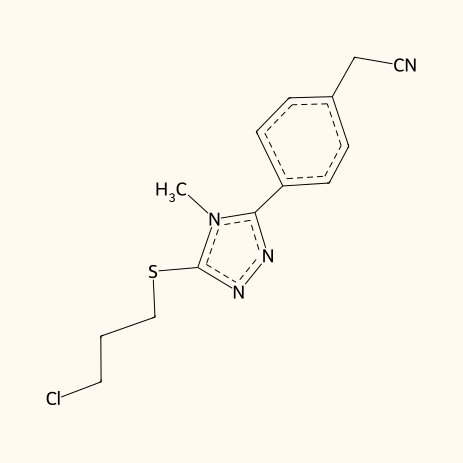 Cn1c(SCCCCl)nnc1-c1ccc(CC#N)cc1